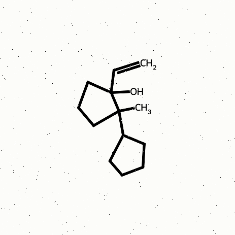 C=CC1(O)CCCC1(C)C1CCCC1